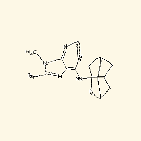 Cn1c(Br)nc2c(NC34CC5CC3CC5O4)ncnc21